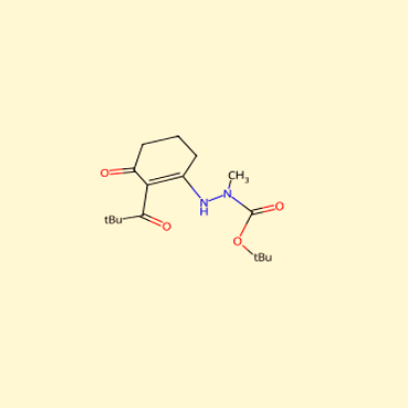 CN(NC1=C(C(=O)C(C)(C)C)C(=O)CCC1)C(=O)OC(C)(C)C